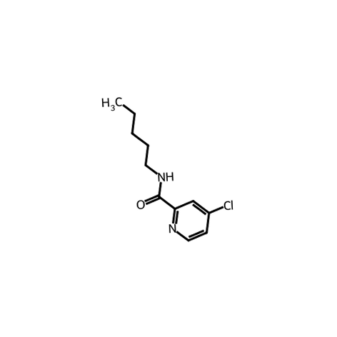 CCCCCNC(=O)c1cc(Cl)ccn1